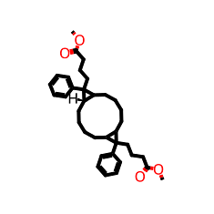 COC(=O)CCCC1(c2ccccc2)C2CCCCC3[C@H](CCCCC21)C3(CCCC(=O)OC)c1ccccc1